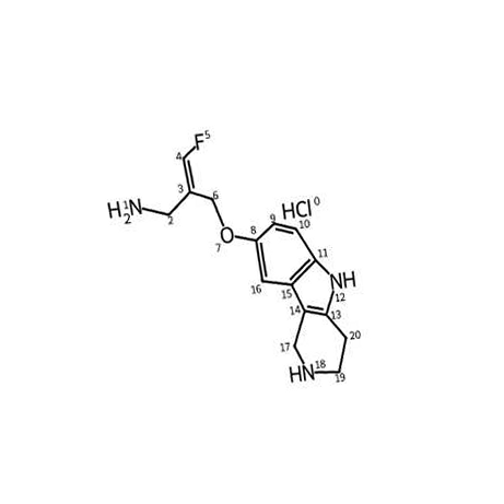 Cl.NC/C(=C/F)COc1ccc2[nH]c3c(c2c1)CNCC3